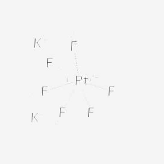 [F][Pt-2]([F])([F])([F])([F])[F].[K+].[K+]